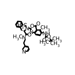 Cc1c(NC(=O)OC(C)(C)C)ccc2nc(N(C)[C@@H](Cc3ccccc3)C(=O)N(C)CCc3cccnc3)oc(=O)c12